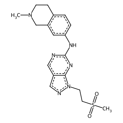 CN1CCc2ccc(Nc3ncc4cnn(CCS(C)(=O)=O)c4n3)cc2C1